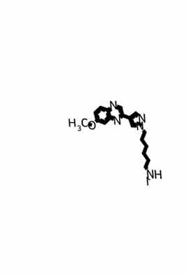 COc1ccc2ncc(-c3cnn(CCCCCCNI)c3)nc2c1